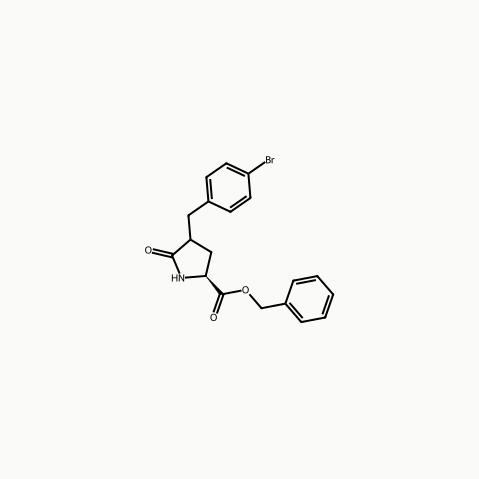 O=C1N[C@H](C(=O)OCc2ccccc2)CC1Cc1ccc(Br)cc1